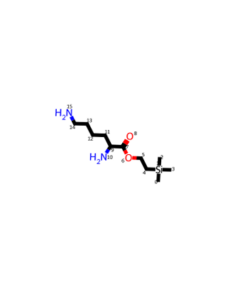 C[Si](C)(C)CCOC(=O)C(N)CCCCN